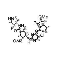 COc1cc(C(=O)N[C@H]2CCNC[C@H]2F)c(F)cc1Nc1ncc(Cl)c(Oc2cccc3c2C(=O)N(OC)C3)n1